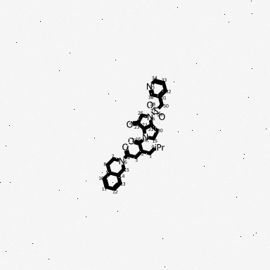 CC(C)CC(CC(=O)N1CCC2C=CC=CC2C1)C(=O)N1CCC2C1C(=O)CN2S(=O)(=O)Cc1cccnc1